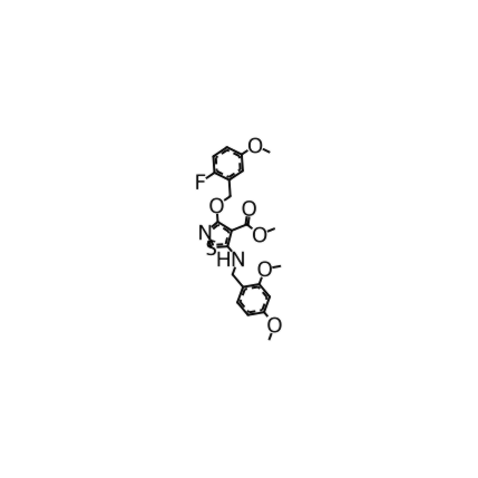 COC(=O)c1c(OCc2cc(OC)ccc2F)nsc1NCc1ccc(OC)cc1OC